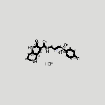 Cl.O=C(NC/C=C/S(=O)(=O)c1ccc(Cl)cc1)c1cc2c([nH]c1=O)CCNC2